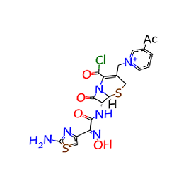 CC(=O)c1ccc[n+](CC2=C(C(=O)Cl)N3C(=O)[C@@H](NC(=O)C(=NO)c4csc(N)n4)[C@@H]3SC2)c1